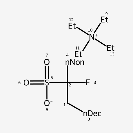 CCCCCCCCCCCC(F)(CCCCCCCCC)S(=O)(=O)[O-].CC[N+](CC)(CC)CC